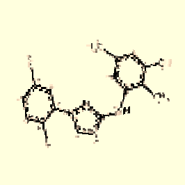 Cc1cc(O)c(C)c(Nc2ncn(-c3cc(F)ccc3F)n2)c1